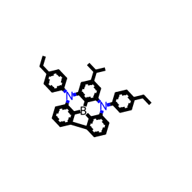 CCc1ccc(N2c3cccc4c3B3c5c-4cccc5N(c4ccc(CC)cc4)c4cc(C(C)C)cc2c43)cc1